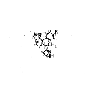 CC(c1cc[nH]n1)N1CCn2nnnc2C1c1ccc(F)cc1